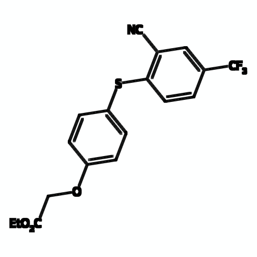 CCOC(=O)COc1ccc(Sc2ccc(C(F)(F)F)cc2C#N)cc1